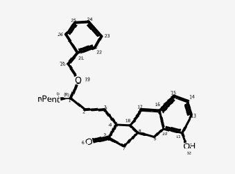 CCCCC[C@H](CCC1C(=O)CC2Cc3c(O)cccc3CC21)OCc1ccccc1